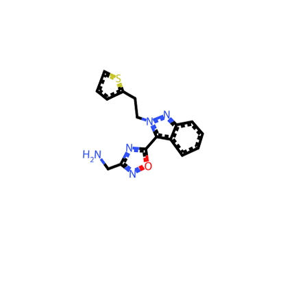 NCc1noc(-c2c3ccccc3nn2CCc2cccs2)n1